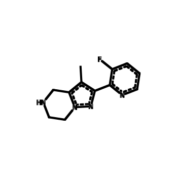 Cc1c(-c2ncccc2F)nn2c1CNCC2